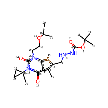 Cc1c(CNNC(=O)OC(C)(C)C)sc2c1c(=O)n(C1(C)CC1)c(=O)n2CCOC(C)C